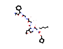 C=CCCCC[C@H](NC(=O)OCc1ccccc1)C(=O)N1C[C@@H]2OC(C)(C)C[C@@H]2[C@H]1C(=O)N[C@@H](CCCCC)C(=O)C(=O)NCC(=O)N[C@H](C(=O)C(C)(C)N)c1ccccc1